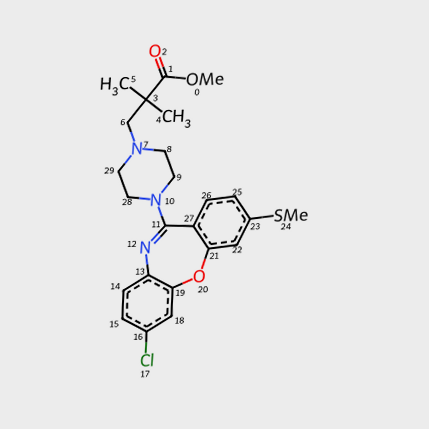 COC(=O)C(C)(C)CN1CCN(C2=Nc3ccc(Cl)cc3Oc3cc(SC)ccc32)CC1